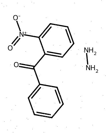 NN.O=C(c1ccccc1)c1ccccc1[N+](=O)[O-]